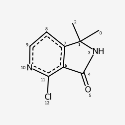 CC1(C)NC(=O)c2c1ccnc2Cl